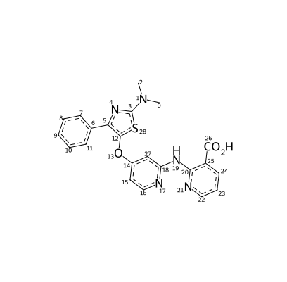 CN(C)c1nc(-c2ccccc2)c(Oc2ccnc(Nc3ncccc3C(=O)O)c2)s1